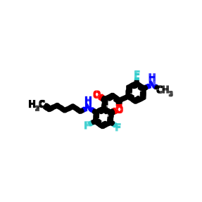 C=CCCCCNc1c(F)cc(F)c2oc(-c3ccc(NC)c(F)c3)cc(=O)c12